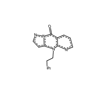 CC(C)CCn1c2ncccc2c(=O)n2nccc12